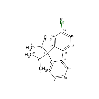 CC(C)C1(C(C)C)c2ccccc2-c2ccc(Br)cc21